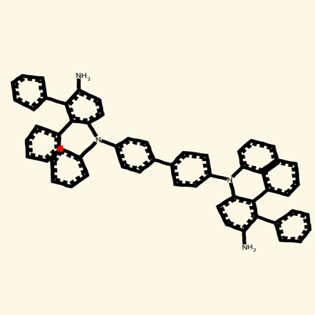 Nc1ccc(N(c2ccccc2)c2ccc(-c3ccc(N(c4ccccc4)c4ccc(N)c(-c5ccccc5)c4-c4ccccc4)cc3)cc2)c(-c2ccccc2)c1-c1ccccc1